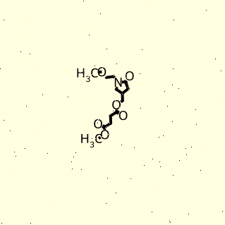 COCCN1CC(COC(=O)CCC(=O)OC)CC1=O